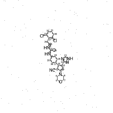 N#Cc1c(N2CCOCC2)sc(-c2nc[nH]n2)c1-c1ccc(NC(=O)N/N=C/c2c(Cl)cccc2Cl)cc1